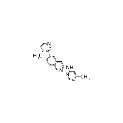 Cc1ccnc(Nc2cc3cc(-c4cnccc4C)ccc3cn2)c1